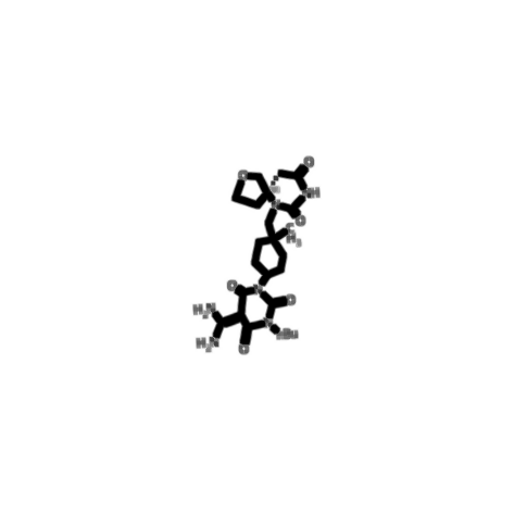 CCCCN1C(=O)C(=C(N)N)C(=O)N(C2CCC(C)(CN3C(=O)NC(=O)C[C@@]34CCOC4)CC2)C1=O